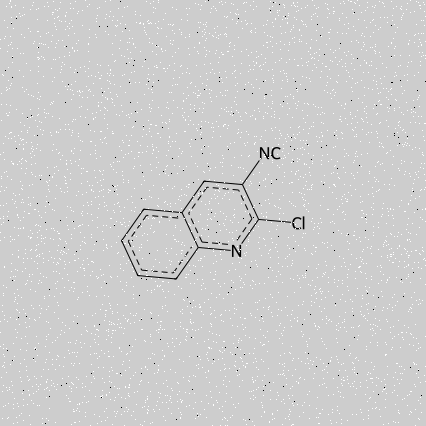 [C-]#[N+]c1cc2ccccc2nc1Cl